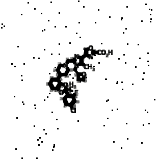 Cc1c(-c2coc(C(=O)O)n2)nc(CN2CCC(c3cccc4c3O[C@@](C)(c3ccc(Cl)cc3F)O4)CC2)n1C[C@@H]1CCO1